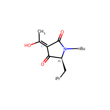 CCCCN1C(=O)/C(=C(\C)O)C(=O)[C@@H]1CC(C)C